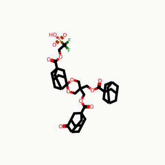 O=C1C2CC3CC1CC(C(=O)OCC1(COC(=O)C45CC6CC(CC(C6)C4)C5)COC4(OC1)C1CC5CC4CC(C(=O)OCC(F)(F)S(=O)(=O)O)(C5)C1)(C3)C2